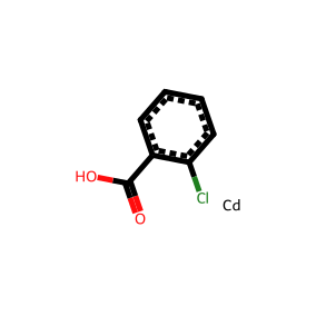 O=C(O)c1ccccc1Cl.[Cd]